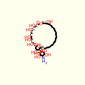 C[C@@H]1[C@H](O)[C@@H](C)/C=C/C=C/C=C/C=C/C=C/C=C/C=C/[C@H](O[C@H]2O[C@H](C)[C@@H](O)[C@H](N)[C@H]2O)C[C@@H]2O[C@](O)(C[C@@H](O)C[C@@H](O)[C@H](O)CC[C@@H](O)C[C@@H](O)CC(=O)O[C@H]1C)C[C@H](O)[C@H]2C(=O)O